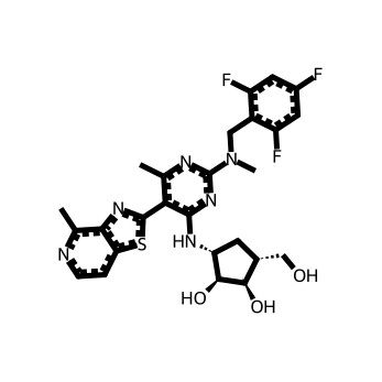 Cc1nc(N(C)Cc2c(F)cc(F)cc2F)nc(N[C@@H]2C[C@H](CO)[C@@H](O)[C@H]2O)c1-c1nc2c(C)nccc2s1